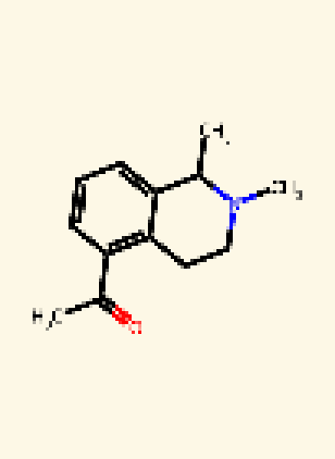 CC(=O)c1cccc2c1CCN(C)C2C